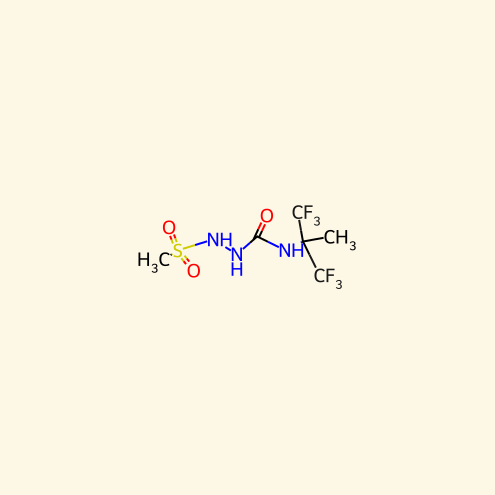 CC(NC(=O)NNS(C)(=O)=O)(C(F)(F)F)C(F)(F)F